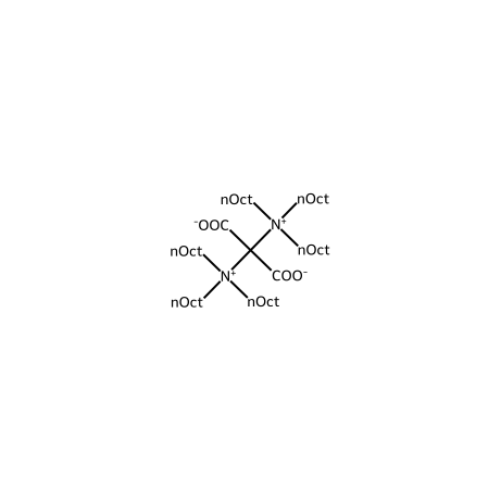 CCCCCCCC[N+](CCCCCCCC)(CCCCCCCC)C(C(=O)[O-])(C(=O)[O-])[N+](CCCCCCCC)(CCCCCCCC)CCCCCCCC